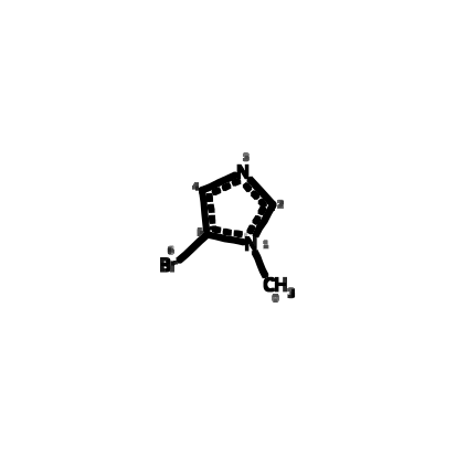 Cn1[c]ncc1Br